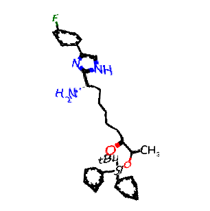 CC(O[Si](c1ccccc1)(c1ccccc1)C(C)(C)C)C(=O)CCCCC[C@H](N)c1nc(-c2ccc(F)cc2)c[nH]1